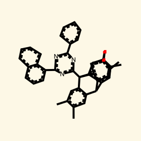 Cc1cc2c(cc1C)C1(c3nc(-c4ccccc4)nc(-c4cccc5ccccc45)n3)c3cc(C)c(C)cc3C2c2cc(C)c(C)cc21